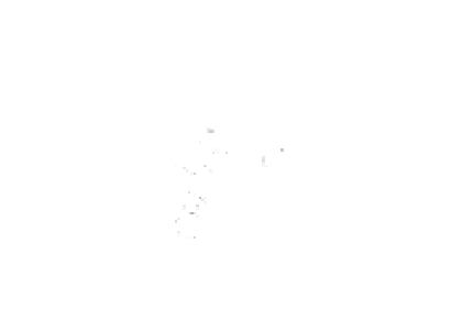 Cc1cccc2sc(C(=O)Nc3nccn3CCC(=O)O)nc12